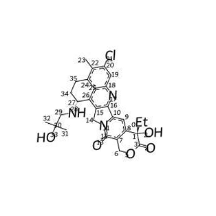 CC[C@@]1(O)C(=O)OCc2c1cc1n(c2=O)Cc2c-1nc1cc(Cl)c(C)c3c1c2[C@H](NCC(C)(C)O)CC3